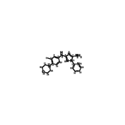 Cc1cc(Nc2nc(N)n(-c3ccccn3)n2)ccc1N1CCOCC1